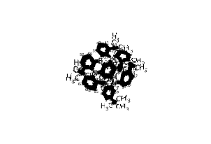 CC(C)(C)c1cccc(N(c2cccc(C(C)(C)C)c2)c2cc3c4c(c2)N(c2ccccc2C(C)(C)C)c2c(cccc2C(C)(C)C)B4c2cccc(C(C)(C)C)c2N3c2ccccc2C(C)(C)C)c1